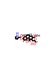 CO[C@]12C[C@H]3C=C[C@H]4[C@H]5O[C@]3(C(C)=C1[C@@H](C)[C@@H]([C@@H](C)O)OC2=O)[C@@H]4[C@H](O)[C@@H](C)[C@H]5OC(=O)c1ccc[nH]1